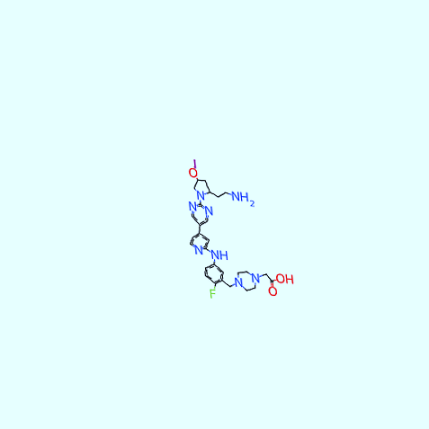 NCCC1CC(OI)CN1c1ncc(-c2ccnc(Nc3ccc(F)c(CN4CCN(CC(=O)O)CC4)c3)c2)cn1